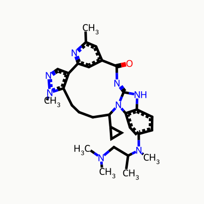 Cc1cc2cc(n1)-c1cnn(C)c1CCCC(C1CC1)N1/C(=N/C2=O)Nc2ccc(N(C)C(C)CN(C)C)cc21